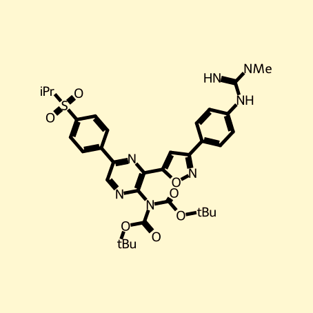 CNC(=N)Nc1ccc(-c2cc(-c3nc(-c4ccc(S(=O)(=O)C(C)C)cc4)cnc3N(C(=O)OC(C)(C)C)C(=O)OC(C)(C)C)on2)cc1